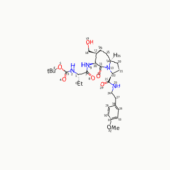 CC[C@H](NC(=O)OC(C)(C)C)C(=O)N[C@@H]1C(=O)N2[C@@H](CC[C@@H]1CO)CC[C@H]2C(=O)NCCc1ccc(OC)cc1